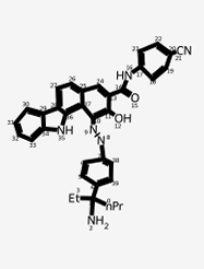 CCCC(N)(CC)c1ccc(N=Nc2c(O)c(C(=O)Nc3ccc(C#N)cc3)cc3ccc4c5ccccc5[nH]c4c23)cc1